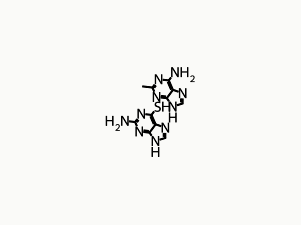 Cc1nc(N)c2nc[nH]c2n1.Nc1nc(S)c2nc[nH]c2n1